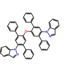 c1ccc(-c2cc(-n3ncc4ccccc43)c(-c3ccccc3)cc2Oc2cc(-c3ccccc3)c(-n3ncc4ccccc43)cc2-c2ccccc2)cc1